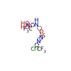 ON(O)c1ccc(NC2CCC(OCC(=S)N3CCN(c4ccc(Cl)c(C(F)(F)F)c4)CC3)CC2)cc1C(F)(F)F